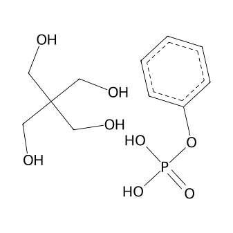 O=P(O)(O)Oc1ccccc1.OCC(CO)(CO)CO